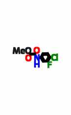 COC(=O)C(=O)Nc1ccc(Cl)c(F)c1